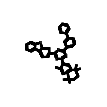 Cc1cc2c(cc1-c1nc(-c3cccc(-c4ccccc4)c3)nc(-c3ccc4c(c3)oc3ccccc34)n1)C(C)(C)CCC2(C)C